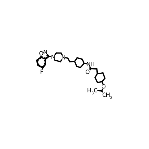 CC(C)OC1CCC(CC(=O)NC2CCC(CCN3CCN(c4noc5ccc(F)cc45)CC3)CC2)CC1